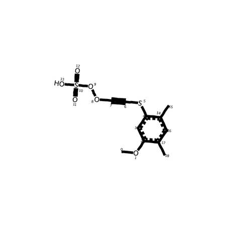 COc1cc(SC#COOS(=O)(=O)O)c(C)cc1C